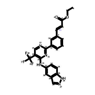 CCOC(=O)/C=C/c1cccc(-c2ncc(C(F)(F)F)c(Nc3ccc4[nH]ncc4c3)n2)c1